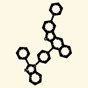 c1ccc(-c2ccc3oc4c(-c5ccc(-n6c(-c7ccccc7)nc7ccccc76)cc5)c5ccccc5cc4c3c2)cc1